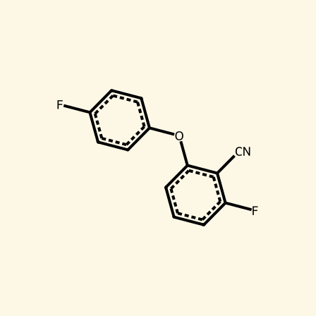 N#Cc1c(F)cccc1Oc1ccc(F)cc1